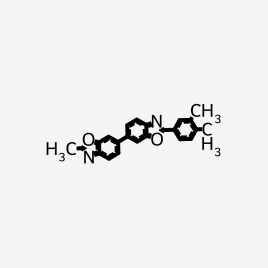 Cc1nc2ccc(-c3ccc4nc(-c5ccc(C)c(C)c5)oc4c3)cc2o1